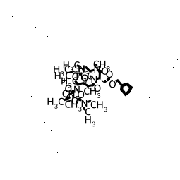 CCN(CC)C(=O)ON(C(=O)OC(C)(C)C)C(C)CC(C)C(=O)N(C)[C@@H](CC(=O)OCc1ccccc1)C(=O)N(C)CCN(C)C(=O)OC(C)(C)C